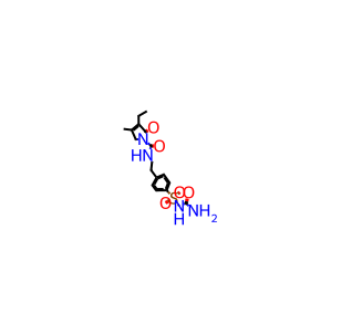 CCC1=C(C)CN(C(=O)NCCc2ccc(S(=O)(=O)NC(N)=O)cc2)C1=O